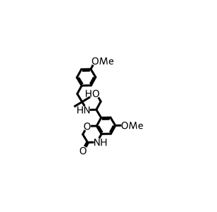 COc1ccc(CC(C)(C)NC(CO)c2cc(OC)cc3c2OCC(=O)N3)cc1